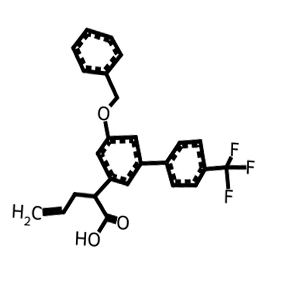 C=CCC(C(=O)O)c1cc(OCc2ccccc2)cc(-c2ccc(C(F)(F)F)cc2)c1